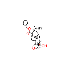 CC(C)[C@@H](C)[C@@]1(C)CC[C@]2(C)[C@H]3CC[C@@H]4[C@@]5(COC[C@]4(C)[C@@H](O)[C@H](C)C5)C3=CC[C@@]2(C)[C@@H]1C(=O)OCc1ccccc1